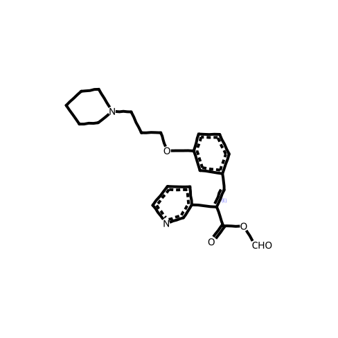 O=COC(=O)/C(=C/c1cccc(OCCCN2CCCCC2)c1)c1cccnc1